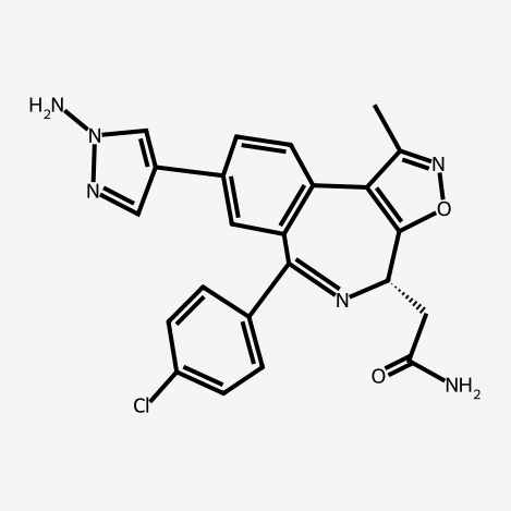 Cc1noc2c1-c1ccc(-c3cnn(N)c3)cc1C(c1ccc(Cl)cc1)=N[C@H]2CC(N)=O